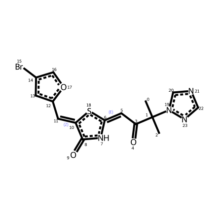 CC(C)(C(=O)/C=c1\[nH]c(=O)/c(=C/c2cc(Br)co2)s1)n1cncn1